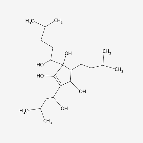 CC(C)CCC(O)C1(O)C(O)=C(C(O)CC(C)C)C(O)C1CCC(C)C